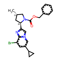 C[C@H]1C[C@H](c2cn3cc(C4CC4)cc(Br)c3n2)N(C(=O)OCc2ccccc2)C1